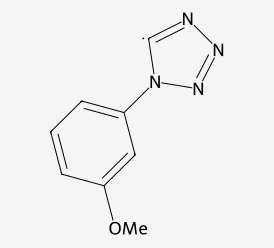 COc1cccc(-n2[c]nnn2)c1